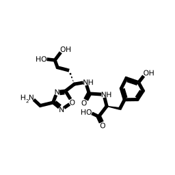 NCc1noc([C@H](CCC(O)O)NC(=O)N[C@@H](Cc2ccc(O)cc2)C(=O)O)n1